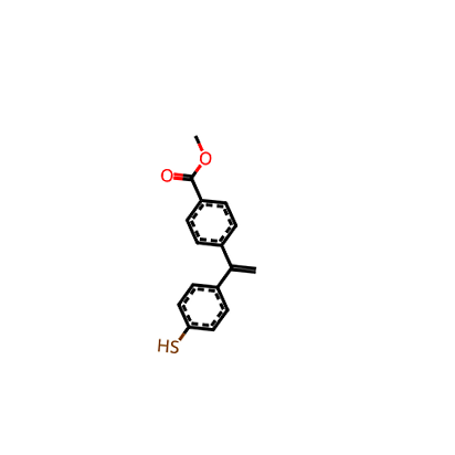 C=C(c1ccc(S)cc1)c1ccc(C(=O)OC)cc1